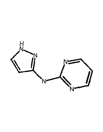 c1cnc([N]c2cc[nH]n2)nc1